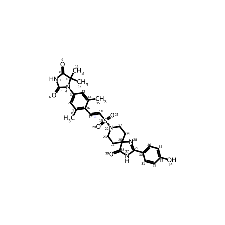 Cc1cc(N2C(=O)NC(=O)C2(C)C)cc(C)c1/C=C/S(=O)(=O)N1CCC2(CC1)N=C(c1ccc(O)cc1)NC2=O